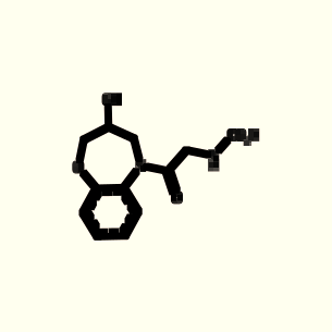 O=C(O)NCC(=O)N1CC(O)COc2ccccc21